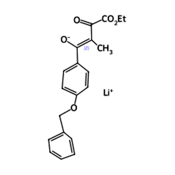 CCOC(=O)C(=O)/C(C)=C(\[O-])c1ccc(OCc2ccccc2)cc1.[Li+]